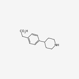 O=C(O)Cc1ccc(C2CCNCC2)cc1